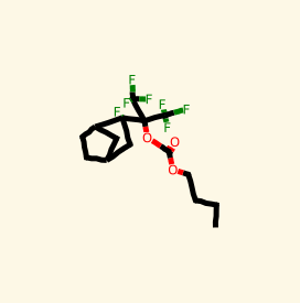 CCCCOC(=O)OC(C(F)(F)F)(C(F)(F)F)C1(F)CC2CCC1C2